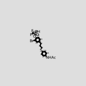 CC(=O)Nc1ccc(SCCCc2ccc(OP(=O)(O)C(F)F)c(Br)c2)cc1